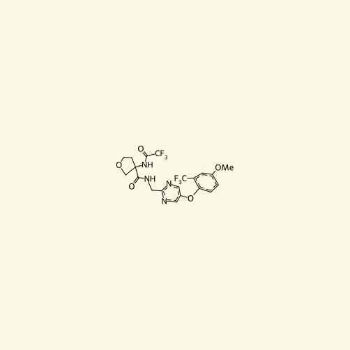 COc1ccc(Oc2cnc(CNC(=O)C3(NC(=O)C(F)(F)F)CCOC3)nc2)c(C(F)(F)F)c1